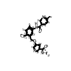 Cc1ccc(C(=O)Nc2ccc(Cl)c(COc3cncc(C(N)=O)c3)c2)cn1